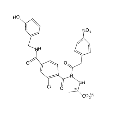 C[C@H](NN(C(=O)Cc1ccc([N+](=O)[O-])cc1)C(=O)c1ccc(C(=O)NCc2cccc(O)c2)cc1Cl)C(=O)O